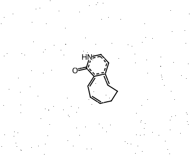 O=c1[nH]ccc2/c1=C\C=C/CC/C=2